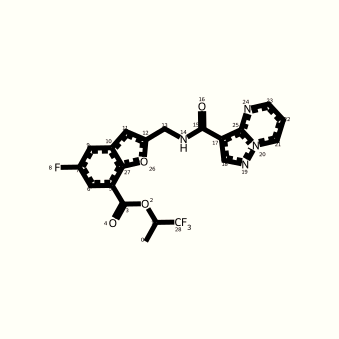 CC(OC(=O)c1cc(F)cc2cc(CNC(=O)c3cnn4cccnc34)oc12)C(F)(F)F